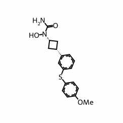 COc1ccc(Sc2cccc([C@H]3C[C@@H](N(O)C(N)=O)C3)c2)cc1